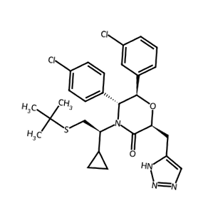 CC(C)(C)SC[C@H](C1CC1)N1C(=O)[C@H](Cc2cnn[nH]2)O[C@H](c2cccc(Cl)c2)[C@H]1c1ccc(Cl)cc1